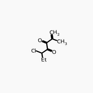 C=C(C)C(=O)C(=O)C(Cl)CC